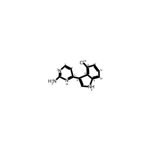 Nc1nccc(-c2c[nH]c3cccc(Cl)c23)n1